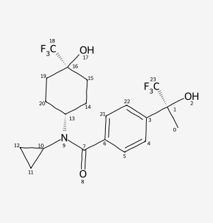 C[C@](O)(c1ccc(C(=O)N(C2CC2)[C@H]2CC[C@@](O)(C(F)(F)F)CC2)cc1)C(F)(F)F